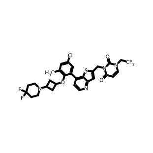 Cc1cc(Cl)cc(-c2ccnc3cc(Cn4c(=O)ccn(CC(F)(F)F)c4=O)sc23)c1OC1CC(N2CCC(F)(F)CC2)C1